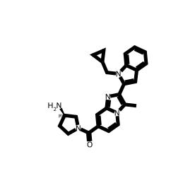 Cc1c(-c2cc3ccccc3n2CC2CC2)nc2cc(C(=O)N3CC[C@@H](N)C3)ccn12